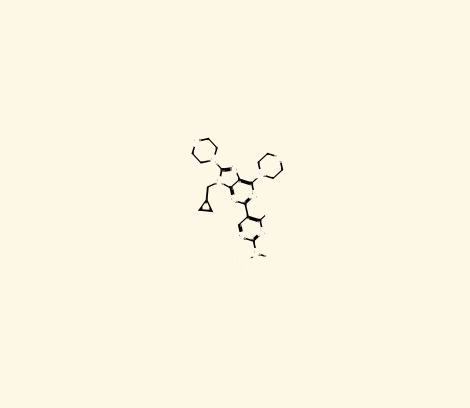 Cc1nc(N(C)C)ncc1-c1nc(N2CCOCC2)c2nc(N3CCNCC3)n(CC3CC3)c2n1